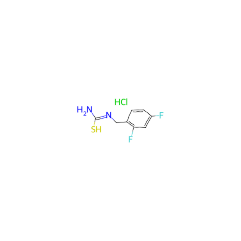 Cl.NC(S)=NCc1ccc(F)cc1F